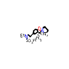 CCN(CCc1ccc2c(c1)C(C)(C)C(N1CCCCC1)O2)S(=O)(=O)O